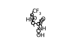 Cc1ccc(NC(=O)N2CCC(CC(F)(F)F)C2)cc1-c1cc(NC2(C)CCC(O)CC2)nc(N2CCOCC2)c1